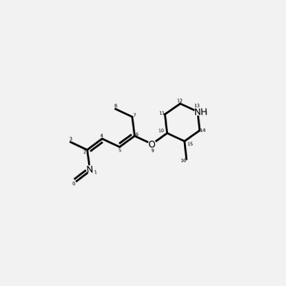 C=N/C(C)=C\C=C(/CC)OC1CCNCC1C